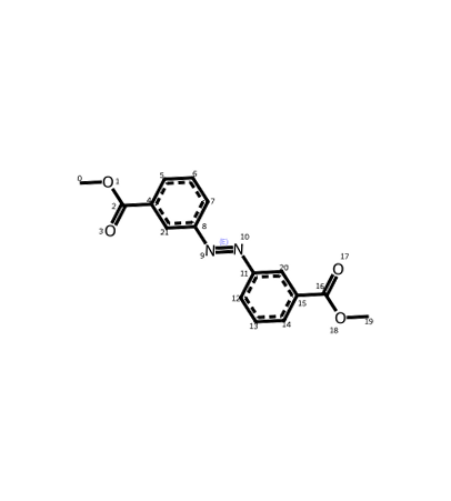 COC(=O)c1cccc(/N=N/c2cccc(C(=O)OC)c2)c1